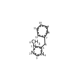 Cn1n[c]nc1Cc1ccccc1